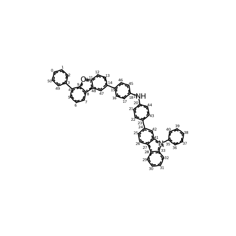 c1ccc(-c2cccc3c2oc2ccc(-c4ccc(Nc5ccc(-c6ccc7c8ccccc8n(-c8ccccc8)c7c6)cc5)cc4)cc23)cc1